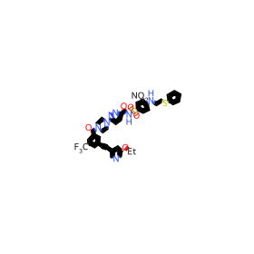 CCOc1cncc(C#Cc2cc(C(=O)N3CCN(c4ccc(C(=O)NS(=O)(=O)c5ccc(NCCSc6ccccc6)c([N+](=O)[O-])c5)nn4)CC3)cc(C(F)(F)F)c2)c1